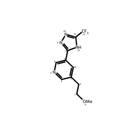 COCCc1cncc(-c2nnc(C(F)(F)F)[nH]2)c1